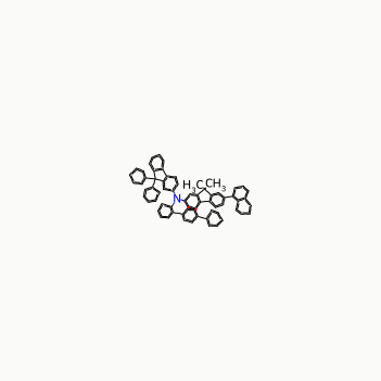 CC1(C)c2cc(-c3cccc4ccccc34)ccc2-c2ccc(N(c3ccc4c(c3)C(c3ccccc3)(c3ccccc3)c3ccccc3-4)c3ccccc3-c3ccc(-c4ccccc4)cc3)cc21